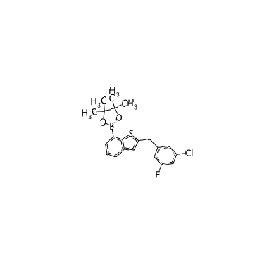 CC1(C)OB(c2cccc3cc(Cc4cc(F)cc(Cl)c4)sc23)OC1(C)C